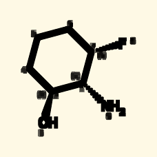 N[C@@H]1[C@@H](O)CCC[C@@H]1F